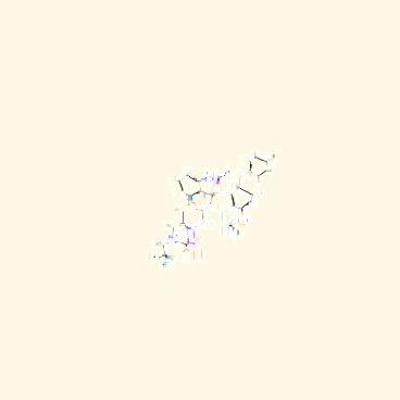 O=C(C[C@@H](c1ccc(F)cc1)c1ccc(OC(F)(F)F)cc1)Nc1cccc(F)c1CC[C@@H]1CN[C@@H](CN(CC(F)(F)F)C(=O)O)CO1